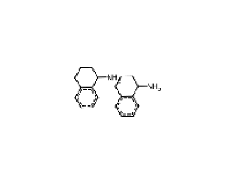 NC1CCCc2ccccc21.NC1CCCc2ccccc21